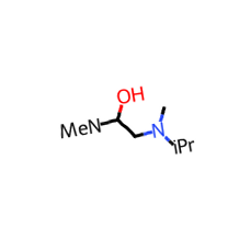 CNC(O)CN(C)C(C)C